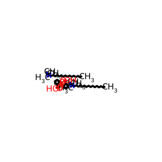 CCCCCCCCCCCCCCCC[N+](C)(C)CC.CCCCCCCCCCCCCCCC[N+](C)(C)CC.O=C(O)c1ccccc1S(=O)(=O)c1ccccc1C(=O)O